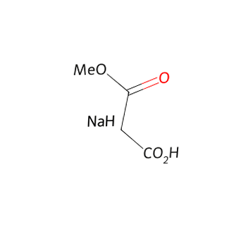 COC(=O)CC(=O)O.[NaH]